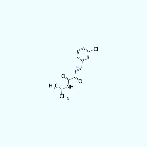 CC(C)NC(=O)C(=O)/C=C/c1cccc(Cl)c1